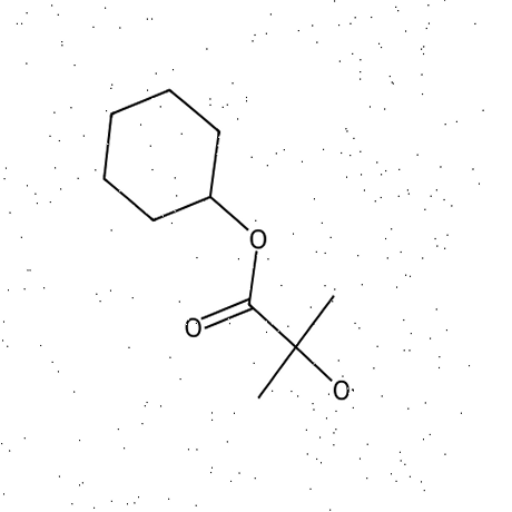 CC(C)([O])C(=O)OC1CCCCC1